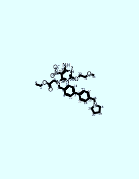 CCOC(=O)CN(Cc1ccc(-c2ccc(CN3CCCC3)cc2)cc1)c1nc(OCCOC)nc(N)c1[N+](=O)[O-]